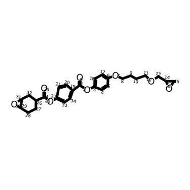 O=C(Oc1ccc(OCCCCOCC2CO2)cc1)c1ccc(OC(=O)C2CCC3OC3C2)cc1